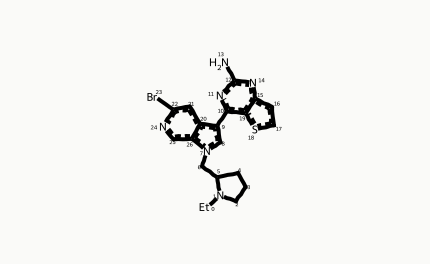 CCN1CCCC1Cn1cc(-c2nc(N)nc3ccsc23)c2cc(Br)ncc21